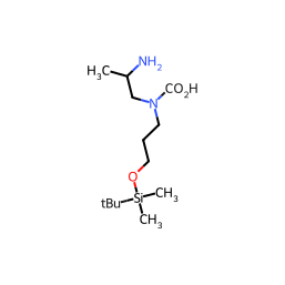 CC(N)CN(CCCO[Si](C)(C)C(C)(C)C)C(=O)O